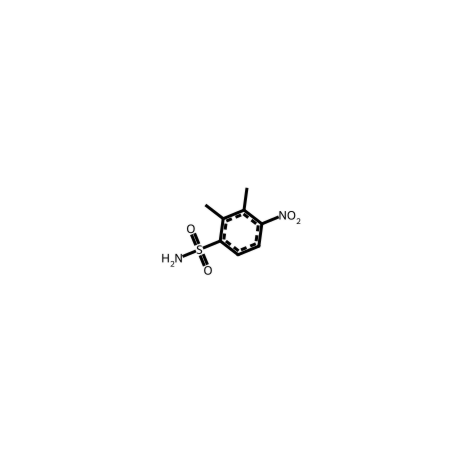 Cc1c([N+](=O)[O-])ccc(S(N)(=O)=O)c1C